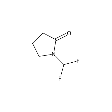 O=C1CCCN1C(F)F